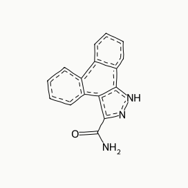 NC(=O)c1n[nH]c2c3ccccc3c3ccccc3c12